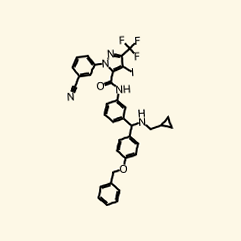 N#Cc1cccc(-n2nc(C(F)(F)F)c(I)c2C(=O)Nc2cccc(C(NCC3CC3)c3ccc(OCc4ccccc4)cc3)c2)c1